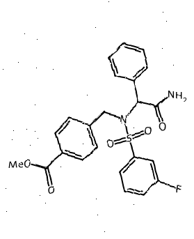 COC(=O)c1ccc(CN(C(C(N)=O)c2ccccc2)S(=O)(=O)c2cccc(F)c2)cc1